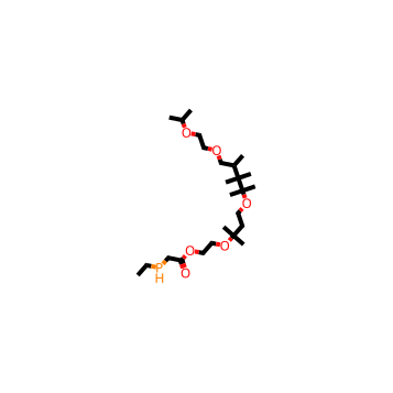 CCPCC(=O)OCCOC(C)(C)CCOC(C)(C)C(C)(C)C(C)COCCOC(C)C